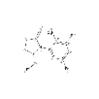 O=C1CC[C@@H](CF)N1c1cc(Br)cc(F)c1[N+](=O)[O-]